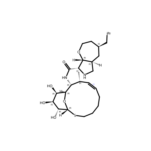 CC(C)C[C@@H]1CCO[C@@H]2[C@H](CN[C@@H]2C(=O)N[C@H]2[C@H]3O[C@H](SCCCC/C=C\[C@H]2C)[C@H](O)[C@@H](O)[C@H]3O)C1